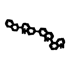 c1ccc2cc(-c3ccc4cc(-c5ccc6ccc(-c7cccc8ncccc78)nc6c5)ccc4n3)ccc2c1